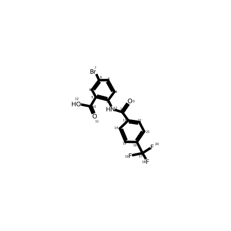 O=C(Nc1ccc(Br)cc1C(=O)O)c1ccc(C(F)(F)F)cc1